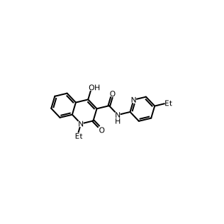 CCc1ccc(NC(=O)c2c(O)c3ccccc3n(CC)c2=O)nc1